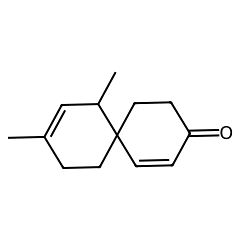 CC1=CC(C)C2(C=CC(=O)CC2)CC1